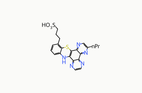 CCCc1cnc2c3c(c4nccnc4c2n1)Nc1cccc(CCCS(=O)(=O)O)c1S3